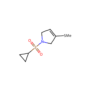 CSC1=CCN(S(=O)(=O)C2CC2)C1